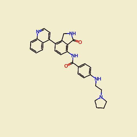 O=C(Nc1ccc(-c2ccnc3ccccc23)c2c1C(=O)NC2)c1ccc(NCCN2CCCC2)cc1